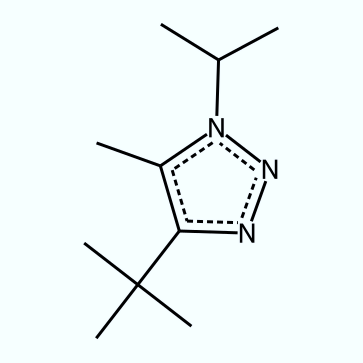 Cc1c(C(C)(C)C)nnn1C(C)C